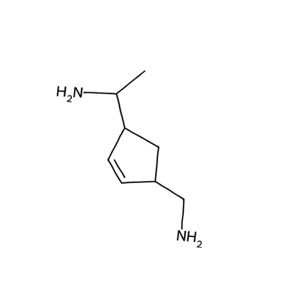 CC(N)C1C=CC(CN)C1